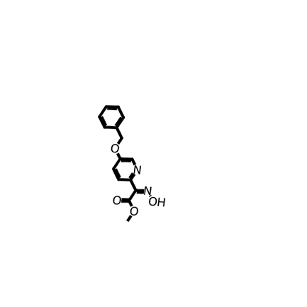 COC(=O)C(=NO)c1ccc(OCc2ccccc2)cn1